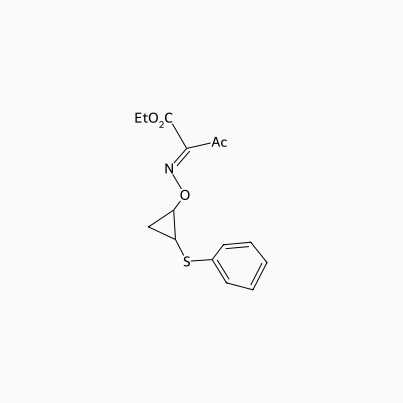 CCOC(=O)C(=NOC1CC1Sc1ccccc1)C(C)=O